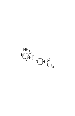 CC(=O)N1CCN(Cc2ccc3c(N)ncnn23)CC1